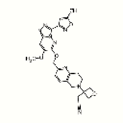 COc1cc2nnc(-c3cc(C)on3)n2nc1OCc1ccc2c(n1)CCN(C1(CC#N)COC1)C2